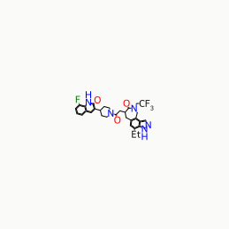 CCc1cc2c(c3cn[nH]c13)CN(CC(F)(F)F)C(=O)C(CC(=O)N1CCC(c3cc4cccc(F)c4[nH]c3=O)CC1)C2